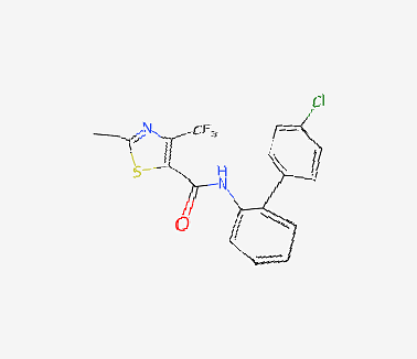 Cc1nc(C(F)(F)F)c(C(=O)Nc2ccccc2-c2ccc(Cl)cc2)s1